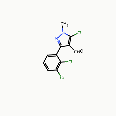 Cn1nc(-c2cccc(Cl)c2Cl)c(C=O)c1Cl